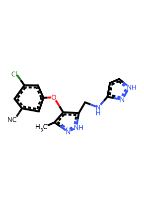 Cc1n[nH]c(CNc2cc[nH]n2)c1Oc1cc(Cl)cc(C#N)c1